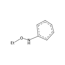 CCONc1ccccc1